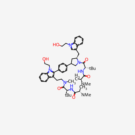 CN[C@@H](C)C(=O)N[C@H](C(=O)N(C)CCc1c(-c2ccc(C3C[C@@H](Cc4cn(CCO)c5ccccc45)N(C(=O)[C@@H](NC(=O)[C@H](C)NC)C(C)(C)C)C3)cc2)n(CCO)c2ccccc12)C(C)(C)C